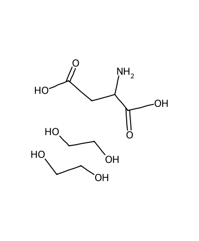 NC(CC(=O)O)C(=O)O.OCCO.OCCO